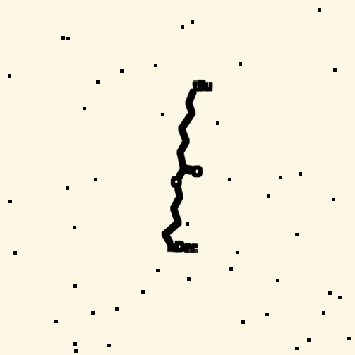 CCCCCCCCCCCCCCOC(=O)CCCCCC(C)(C)C